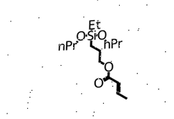 CC=CC(=O)OCCC[Si](CC)(OCCC)OCCC